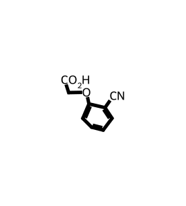 N#Cc1ccccc1OCC(=O)O